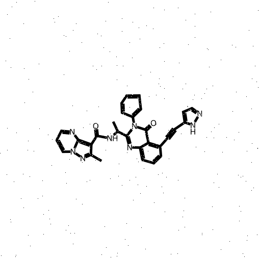 Cc1nn2cccnc2c1C(=O)NC(C)c1nc2cccc(C#Cc3ccn[nH]3)c2c(=O)n1-c1ccccc1